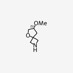 CO[C@@H]1COC2(CNC2)C1